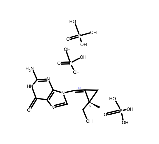 C[C@]1(CO)C/C1=C/n1cnc2c(=O)[nH]c(N)nc21.O=P(O)(O)O.O=P(O)(O)O.O=P(O)(O)O